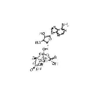 Nc1ncnc2c1ncn2[C@@H]1O[C@H](COP(=O)(OP(=O)(O)O)OP(=O)(O)OP(=O)(O)O)[C@@H](O)[C@H]1O